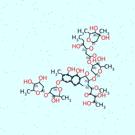 CC[C@H](O)[C@H](C[C@@H](O)O[C@@H]1C[C@H](O[C@@H]2C(=O)c3c(cc4cc(O[C@H]5CC(O[C@H]6CC(O)[C@H](O)C(C)O6)[C@H](O)C(C)O5)c(C)c(O)c4c3O)C[C@H]2[C@H](OC)C(=O)[C@@H](O)[C@@H](C)O)OC(C)[C@H]1O)O[C@H]1C[C@](C)(O)[C@H](O)C(C)O1